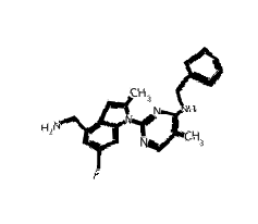 Cc1cnc(-n2c(C)cc3c(CN)cc(F)cc32)nc1NCc1ccccc1